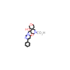 O=C(O)N1CCC(O)(Cn2cnc(-c3ccccc3)cc2=O)C2(CCOCC2)C1